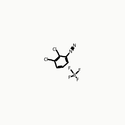 F[B-](F)(F)F.N#[N+]c1cccc(Cl)c1Cl